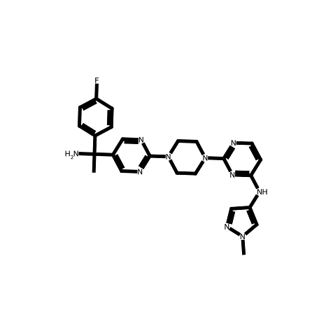 Cn1cc(Nc2ccnc(N3CCN(c4ncc(C(C)(N)c5ccc(F)cc5)cn4)CC3)n2)cn1